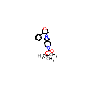 CC(C)(C)OC(=O)N1CCC2(CC1)CN(C1CCOCC1c1ccccc1)C2